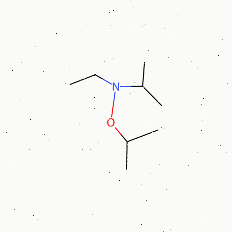 CCN(OC(C)C)C(C)C